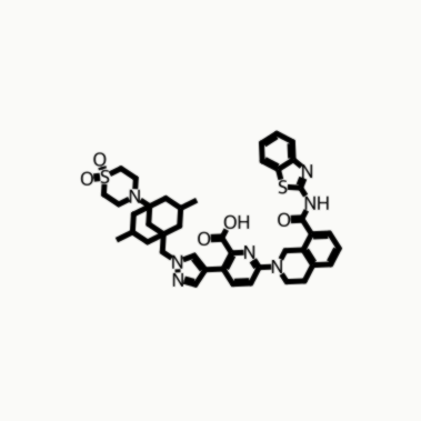 CC1CC2(Cn3cc(-c4ccc(N5CCc6cccc(C(=O)Nc7nc8ccccc8s7)c6C5)nc4C(=O)O)cn3)CC(C)CC(N3CCS(=O)(=O)CC3)(C1)C2